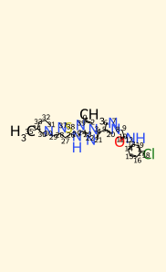 Cc1cn2c(-c3cnn(CC(=O)Nc4cccc(Cl)c4)c3)cnc2c(NC2CC(CN3CCCC(C)C3)=NS2)n1